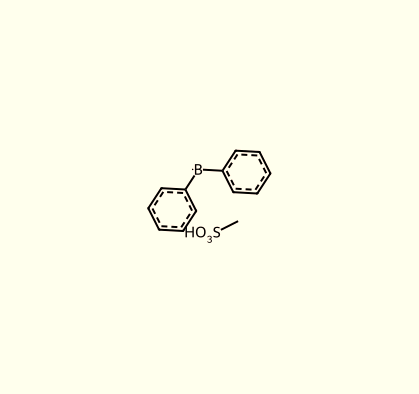 CS(=O)(=O)O.[B](c1ccccc1)c1ccccc1